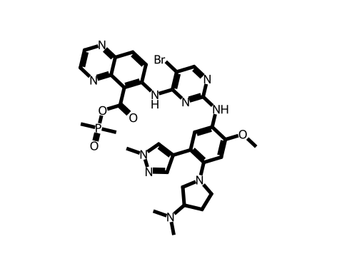 COc1cc(N2CCC(N(C)C)C2)c(-c2cnn(C)c2)cc1Nc1ncc(Br)c(Nc2ccc3nccnc3c2C(=O)OP(C)(C)=O)n1